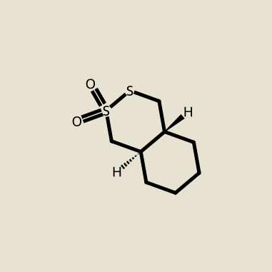 O=S1(=O)C[C@@H]2CCCC[C@H]2CS1